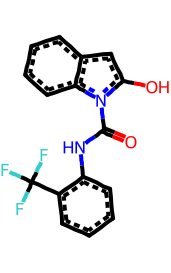 O=C(Nc1ccccc1C(F)(F)F)n1c(O)cc2ccccc21